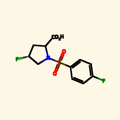 O=C(O)C1C[C@@H](F)CN1S(=O)(=O)c1ccc(F)cc1